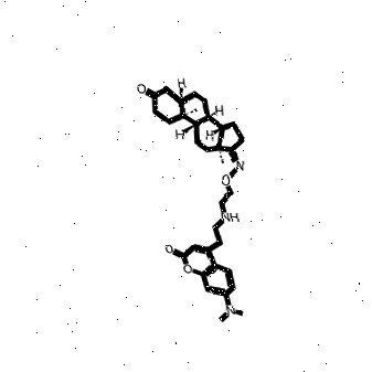 CN(C)c1ccc2c(CCNCCO/N=C3/CC[C@H]4[C@@H]5CC[C@H]6CC(=O)CC[C@]6(C)[C@H]5CC[C@]34C)cc(=O)oc2c1